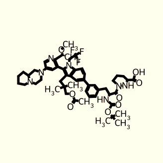 CO[C@@H](C)c1ncc(N2CCN3CCCCC3C2)cc1-c1c(CC(C)(C)COC(C)=O)c2cc(-c3cccc(CC(NC(=O)OC(C)(C)C)C(=O)N4CCCC(C(=O)O)N4)c3)ccc2n1CC(F)(F)F